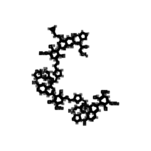 C=CC(=O)N[C@H]1COC[C@H]1Nc1cc2c(NCC3CC3)nc(-c3c(Cl)c(OC)cc(OCC4CC[C@@H](CNc5nc(-c6c(Cl)c(OC)cc(OCC7CC[C@H](CNc8nc(-c9c(Cl)c(OC)cc(OC)c9Cl)cc9cnc(N[C@@H]%10COC[C@@H]%10NC(=O)C=C)nc89)O7)c6Cl)cc6cnc(N[C@@H]7COC[C@@H]7NC(=O)C=C)nc56)O4)c3Cl)nc2cn1